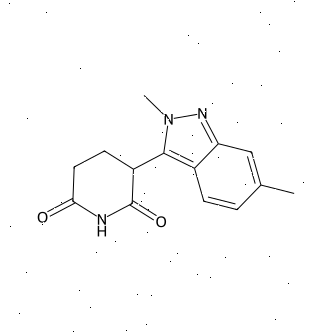 Cc1ccc2c(C3CCC(=O)NC3=O)n(C)nc2c1